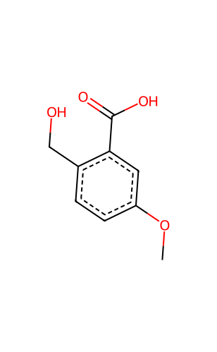 COc1ccc(CO)c(C(=O)O)c1